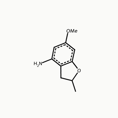 COc1cc(N)c2c(c1)OC(C)C2